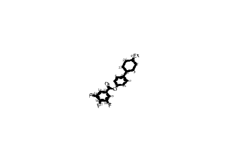 CCC1CCC(c2ccc(OC(=O)c3cc(F)c(F)c(F)c3)cc2)CC1